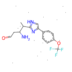 CC(c1nc(-c2ccc(OC(F)(F)F)cc2)c[nH]1)C(N)CC=O